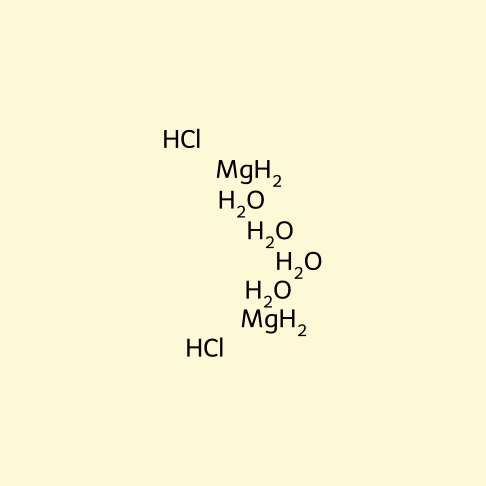 Cl.Cl.O.O.O.O.[MgH2].[MgH2]